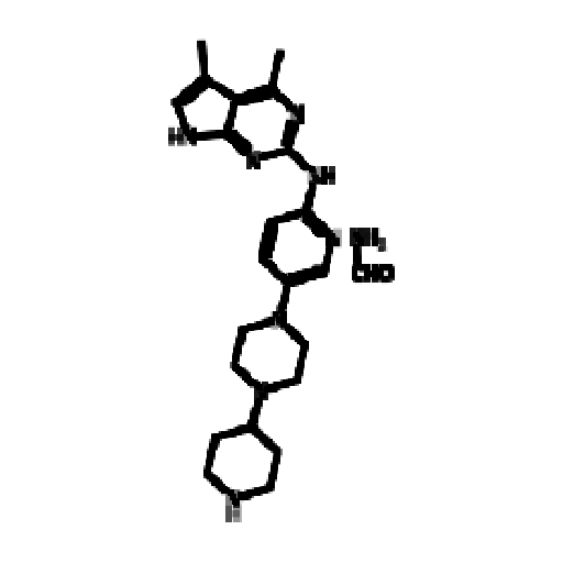 Cc1c[nH]c2nc(Nc3ccc(N4CCN(C5CCNCC5)CC4)cn3)nc(C)c12.NC=O